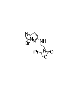 CC(C)C1COC(=O)N1CCNc1ccc2ncc(Br)n2n1